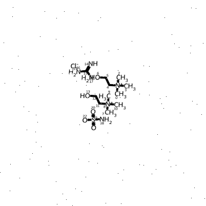 C[N+](C)(C)CCO.C[N+](C)(C)CCO.N=C(N)N.NS(=O)(=O)[O-].[Cl-]